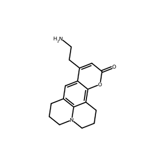 NCCc1cc(=O)oc2c3c4c(cc12)CCCN4CCC3